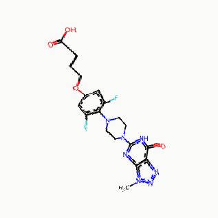 Cn1nnc2c(=O)[nH]c(N3CCN(c4c(F)cc(OCCCC(=O)O)cc4F)CC3)nc21